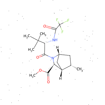 COC(=O)[C@@H]1[C@@H]2C[C@@H](C[C@@H]2C)N1C(=O)[C@@H](NC(=O)C(F)(F)F)C(C)(C)C